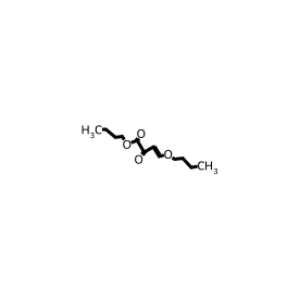 CCCCOC=CC(=O)C(=O)OCCCC